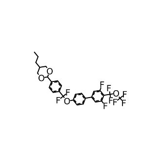 CCCC1COC(c2ccc(C(F)(F)Oc3ccc(-c4cc(F)c(C(F)(F)OC(F)(F)F)c(F)c4)cc3)cc2)OC1